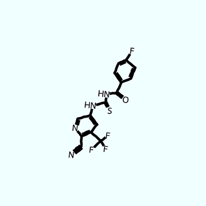 N#Cc1ncc(NC(=S)NC(=O)c2ccc(F)cc2)cc1C(F)(F)F